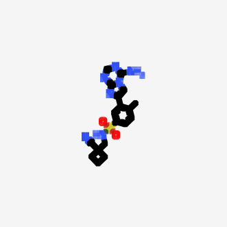 Cc1ccc(S(=O)(=O)NCC2(C#N)CCC2)cc1-c1cn2c(N)ncnc2n1